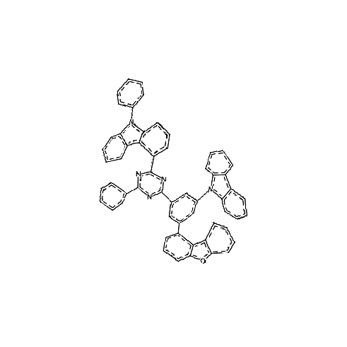 c1ccc(-c2nc(-c3cc(-c4cccc5oc6ccccc6c45)cc(-n4c5ccccc5c5ccccc54)c3)nc(-c3cccc4c3c3ccccc3n4-c3ccccc3)n2)cc1